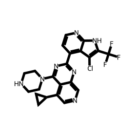 FC(F)(F)c1[nH]c2nccc(-c3nc(N4CCNCC4)c4c(C5CC5)cncc4n3)c2c1Cl